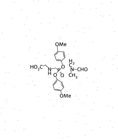 CN(C)C=O.COc1ccc(OP(=O)(CNCC(=O)O)Oc2ccc(OC)cc2)cc1